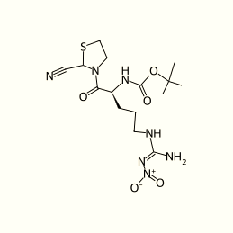 CC(C)(C)OC(=O)N[C@@H](CCCNC(N)=N[N+](=O)[O-])C(=O)N1CCSC1C#N